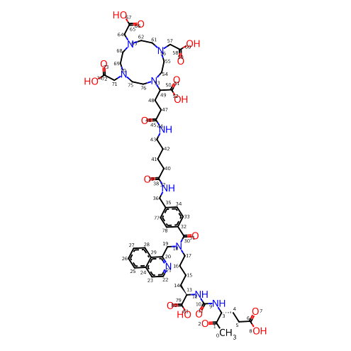 CC(=O)[C@@H](CCC(=O)O)NC(=O)N[C@H](CCCCN(Cc1nccc2ccccc12)C(=O)c1ccc(CNC(=O)CCCCNC(=O)CCC(C(=O)O)N2CCN(CC(=O)O)CCN(CC(=O)O)CCN(CC(=O)O)CC2)cc1)C(=O)O